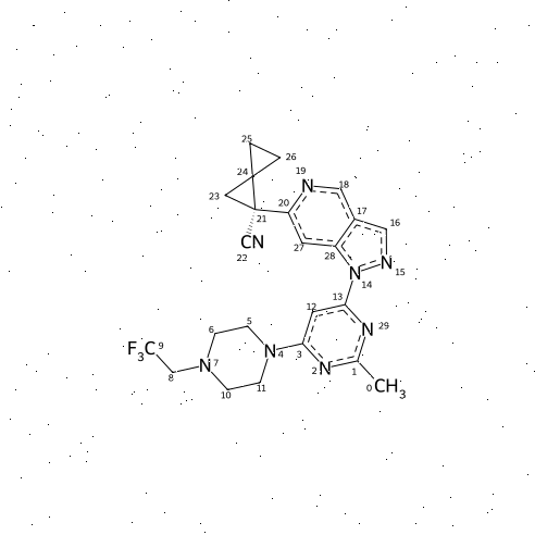 Cc1nc(N2CCN(CC(F)(F)F)CC2)cc(-n2ncc3cnc([C@@]4(C#N)CC45CC5)cc32)n1